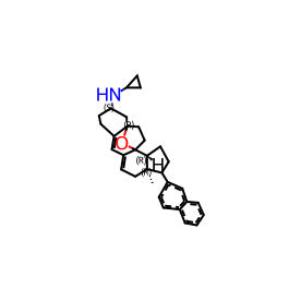 C[C@]12CC=C3C=C4CC[C@H](NC5CC5)C[C@]45CCC3(O5)[C@@H]1CCC2c1ccc2ccccc2c1